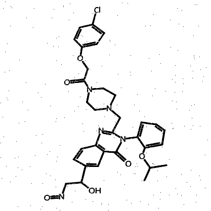 CC(C)Oc1ccccc1-n1c(CN2CCN(C(=O)COc3ccc(Cl)cc3)CC2)nc2ccc(C(O)CN=O)cc2c1=O